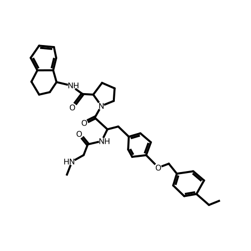 CCc1ccc(COc2ccc(CC(NC(=O)CNC)C(=O)N3CCCC3C(=O)NC3CCCc4ccccc43)cc2)cc1